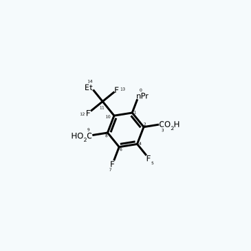 CCCc1c(C(=O)O)c(F)c(F)c(C(=O)O)c1C(F)(F)CC